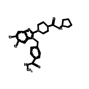 CNC(=O)c1ccc(Cn2c(N3CCC(C(=O)NC4CCCC4)CC3)nc3cc(Cl)c(Cl)cc32)cc1